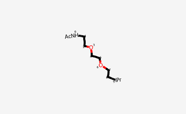 CC(=O)NCCOCCOCCC(C)C